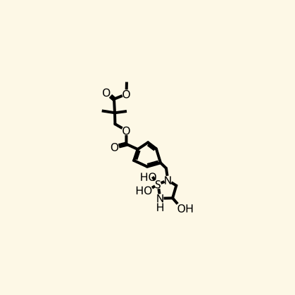 COC(=O)C(C)(C)COC(=O)c1ccc(CN2CC(O)NS2(O)O)cc1